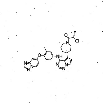 Cc1cc(Nc2ncnn3ccc([C@@H]4CCCN(C(=O)[C@@H](F)Cl)CC4)c23)ccc1Oc1ccn2ncnc2c1